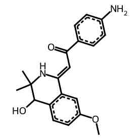 COc1ccc2c(c1)C(=CC(=O)c1ccc(N)cc1)NC(C)(C)C2O